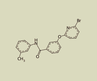 Cc1cccc(NC(=O)c2cccc(Oc3cccc(Br)n3)c2)c1